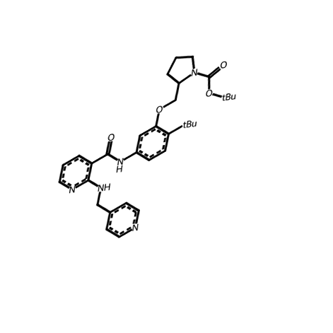 CC(C)(C)OC(=O)N1CCCC1COc1cc(NC(=O)c2cccnc2NCc2ccncc2)ccc1C(C)(C)C